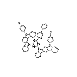 Fc1ccc(N2c3cc4c(cc3C3C=CC=CC32)c2ccccc2n4-c2nc(-c3ccc(-c4ccccc4)cc3)nc(-n3c4ccccc4c4ccc5c(c6ccccc6n5-c5ccc(F)cc5)c43)n2)cc1